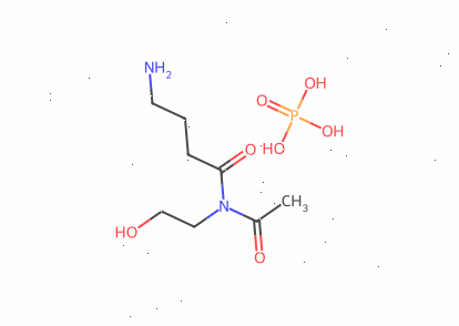 CC(=O)N(CCO)C(=O)CCCN.O=P(O)(O)O